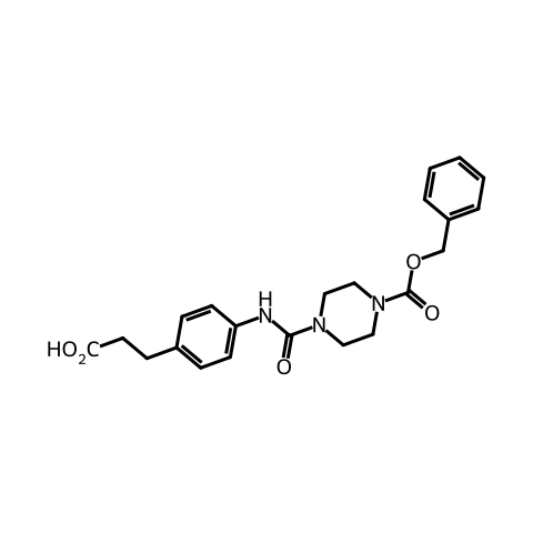 O=C(O)CCc1ccc(NC(=O)N2CCN(C(=O)OCc3ccccc3)CC2)cc1